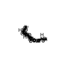 CC(C)(C)OC(=O)NC1C2CN(C[C@H]3CC[C@H](n4ccc(NC(=O)N5CCN(C(=O)C(C)(C)NC(=O)OC(C)(C)C)CC5)nc4=O)CC3)CC21